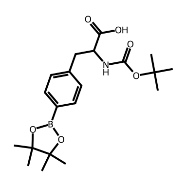 CC(C)(C)OC(=O)NC(Cc1ccc(B2OC(C)(C)C(C)(C)O2)cc1)C(=O)O